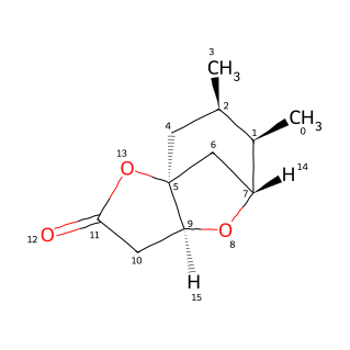 C[C@@H]1[C@H](C)C[C@]23C[C@H]1O[C@H]2CC(=O)O3